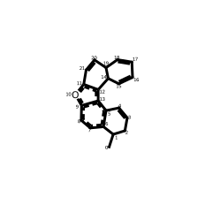 CC1CC=Cc2c1ccc1oc3c(c21)C1C=CC=CC1C=C3